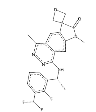 Cc1nnc(N[C@H](C)c2cccc(C(F)F)c2F)c2cc3c(cc12)C1(COC1)C(=O)N3C